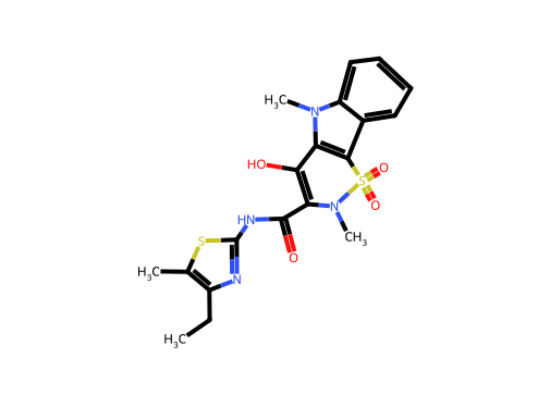 CCc1nc(NC(=O)C2=C(O)c3c(c4ccccc4n3C)S(=O)(=O)N2C)sc1C